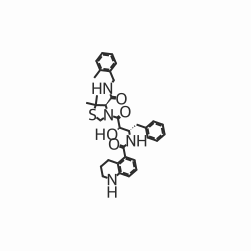 Cc1ccccc1CNC(=O)[C@H]1N(C(=O)[C@@H](O)[C@H](Cc2ccccc2)NC(=O)c2cccc3c2CCCN3)CSC1(C)C